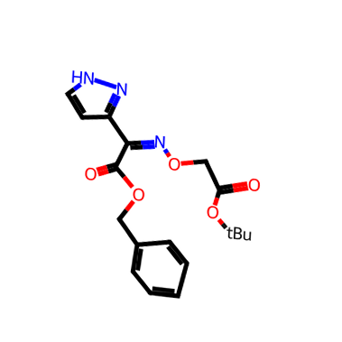 CC(C)(C)OC(=O)CON=C(C(=O)OCc1ccccc1)c1cc[nH]n1